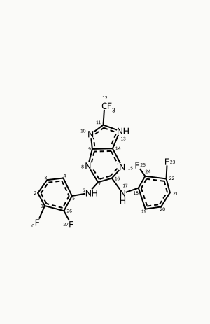 Fc1cccc(Nc2nc3nc(C(F)(F)F)[nH]c3nc2Nc2cccc(F)c2F)c1F